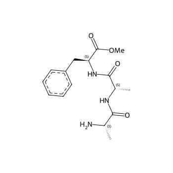 COC(=O)[C@H](Cc1ccccc1)NC(=O)[C@H](C)NC(=O)[C@H](C)N